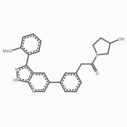 COc1ccccc1-c1n[nH]c2ncc(-c3cccc(CC(=O)N4CCC(O)C4)c3)cc12